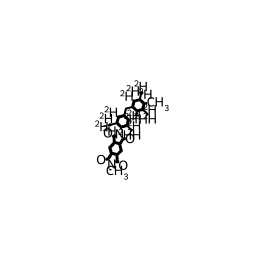 [2H]c1c(Cc2c([2H])c(C([2H])([2H])[2H])c(-n3c(=O)c4cc5c(=O)n(C)c(=O)c5cc4c3=O)c(C([2H])([2H])[2H])c2[2H])c([2H])c(C([2H])([2H])[2H])c(C)c1C([2H])([2H])[2H]